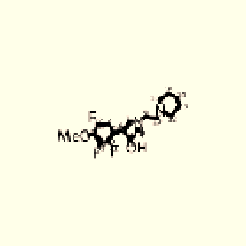 COc1c(F)cc(-c2cn(CCN3CCCCC3)nc2O)c(F)c1F